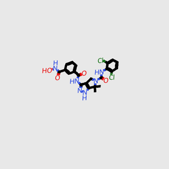 CC1(C)c2[nH]nc(NC(=O)c3cccc(C(=O)NO)c3)c2CN1C(=O)Nc1c(Cl)cccc1Cl